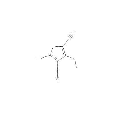 CCc1c(C#N)sc(N)c1C#N